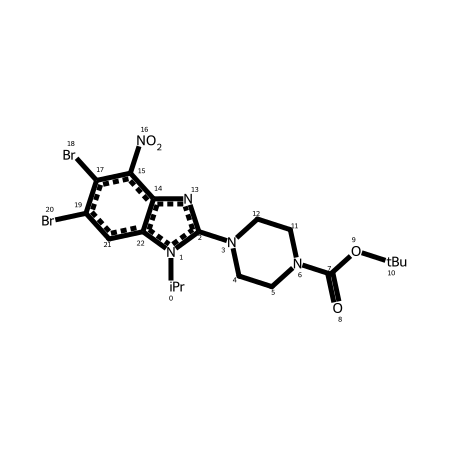 CC(C)n1c(N2CCN(C(=O)OC(C)(C)C)CC2)nc2c([N+](=O)[O-])c(Br)c(Br)cc21